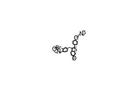 COc1ccc2c(Cc3ccc(CN4CCOCC4)c(Br)c3)c(-c3ccc(OCCN4CCCC4)cc3)sc2c1